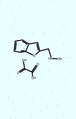 O=C(O)C(=O)O.ONCc1cc2ccccc2o1